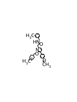 CCOc1ccc(-c2ccc(CC(=O)NCc3cccc(C)c3)nc2OCC2CCN(C)CC2)cc1